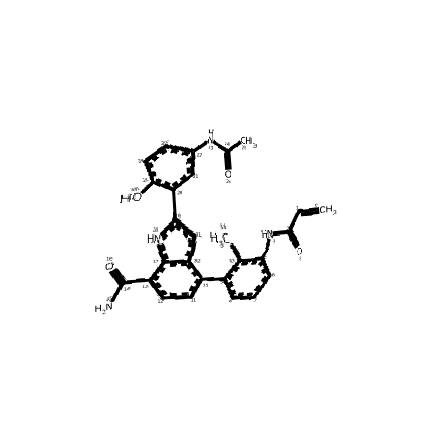 C=CC(=O)Nc1cccc(-c2ccc(C(N)=O)c3[nH]c(-c4cc(NC(C)=O)ccc4O)cc23)c1C